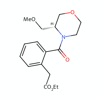 CCOC(=O)Cc1ccccc1C(=O)N1CCOC[C@H]1COC